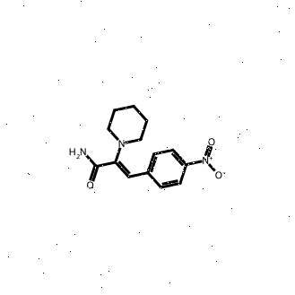 NC(=O)C(=Cc1ccc([N+](=O)[O-])cc1)N1CCCCC1